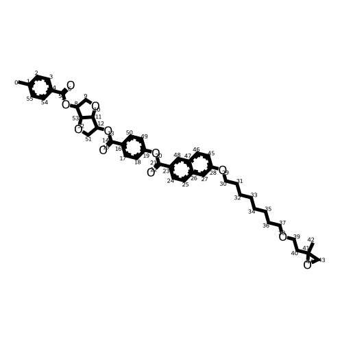 Cc1ccc(C(=O)OC2COC3C(OC(=O)c4ccc(OC(=O)c5ccc6cc(OCCCCCCCCOCCC7(C)CO7)ccc6c5)cc4)COC23)cc1